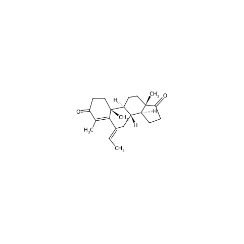 C/C=C1\C[C@@H]2[C@H](CC[C@]3(C)C(=O)CC[C@@H]23)[C@@]2(C)CCC(=O)C(C)=C12